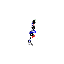 COc1cc2c(Nc3nc4ccc(NC(=O)Nc5ccc(Cl)cc5)cc4s3)ncnc2cc1OCCCN1CCN(C)CC1